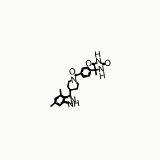 Cc1cc(C)c2c(C3CCN(C(=O)c4ccc(C5(C)NC(=O)NC5=O)cc4)CC3)n[nH]c2c1